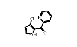 O=C(c1ccccn1)c1[nH]ccc1Cl